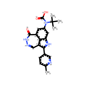 Cc1ccc(-c2[nH]c3cc(N(C(=O)O)C(C)(C)C)cc4c3c2C=NNC4=O)cn1